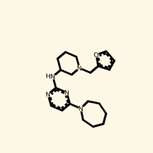 c1coc(CN2CCCC(Nc3nccc(N4CCCCCC4)n3)C2)c1